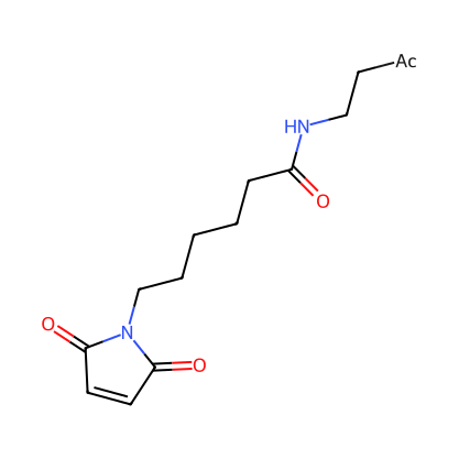 CC(=O)CCNC(=O)CCCCCN1C(=O)C=CC1=O